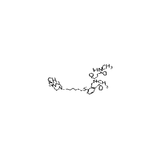 CNC(=O)CCC(C=O)N(C)Cc1c(C=O)cccc1SCCCCCCCN1CCN(SC)CC1